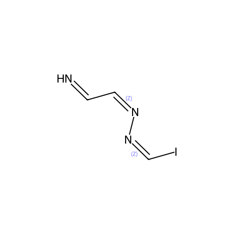 N=C/C=N\N=C/I